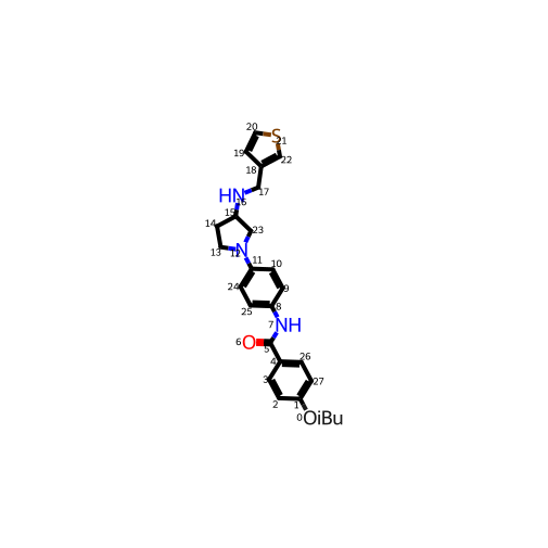 CC(C)COc1ccc(C(=O)Nc2ccc(N3CCC(NCc4ccsc4)C3)cc2)cc1